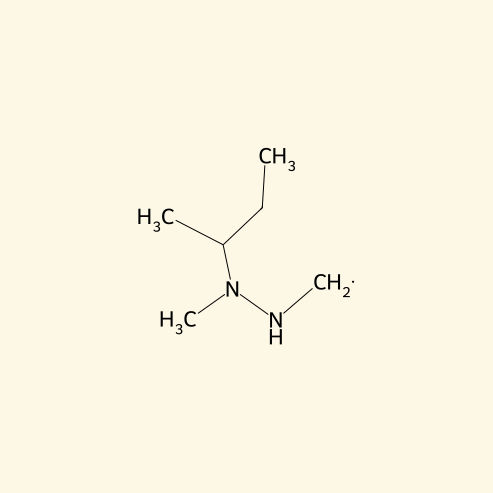 [CH2]NN(C)C(C)CC